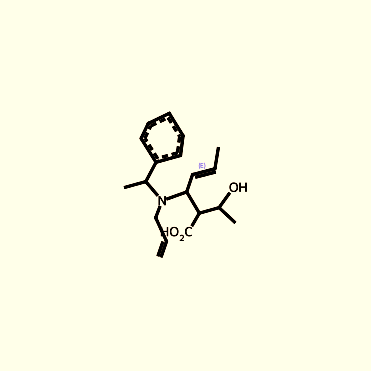 C=CCN(C(C)c1ccccc1)C(/C=C/C)C(C(=O)O)C(C)O